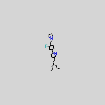 CCCC(CCC)CCc1ccc(-c2ccc(CCN3CCCC3)c(F)c2)nc1